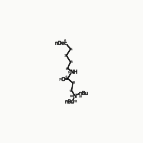 CCCCCCCCCCCCCCNC(=O)CCN(CCCC)CCCC